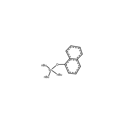 CCC[CH2][Sn]([CH2]CCC)([CH2]CCC)[O]c1cccc2ccccc12